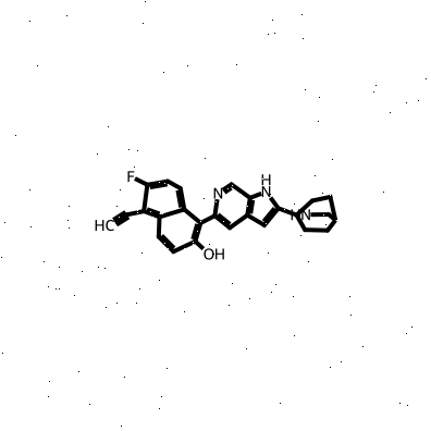 C#Cc1c(F)ccc2c(-c3cc4cc(C56CCC(CC5)CN6)[nH]c4cn3)c(O)ccc12